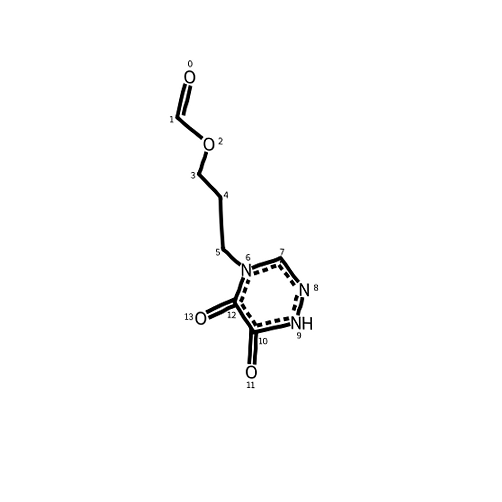 O=COCCCn1[c]n[nH]c(=O)c1=O